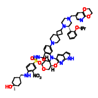 CC(C)Oc1ccccc1[C@H]1CN(Cc2cnc3c(c2)OCCO3)CCN1C1CC2(CCN(c3ccc(C(=O)NS(=O)(=O)c4ccc(NC[C@H]5CC[C@](C)(O)CC5)c([N+](=O)[O-])c4)c(N4c5cc6cc[nH]c6nc5O[C@H]5COCC[C@@H]54)c3)CC2)C1